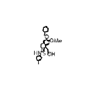 COc1cc2c(cc1OCc1ccccc1)CCN(C(=S)Nc1ccc(C)cc1)C2CCO